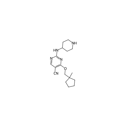 CC1(COc2nc(NC3CCNCC3)ncc2C#N)CCCC1